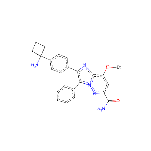 CCOc1cc(C(N)=O)nn2c(-c3ccccc3)c(-c3ccc(C4(N)CCC4)cc3)nc12